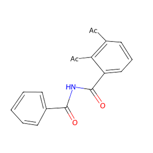 CC(=O)c1cccc(C(=O)NC(=O)c2ccccc2)c1C(C)=O